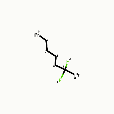 CC(C)CCCCC(F)(F)C(C)C